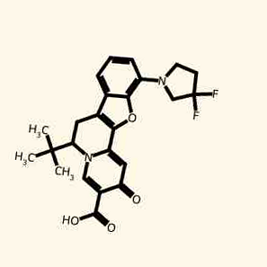 CC(C)(C)C1Cc2c(oc3c(N4CCC(F)(F)C4)cccc23)-c2cc(=O)c(C(=O)O)cn21